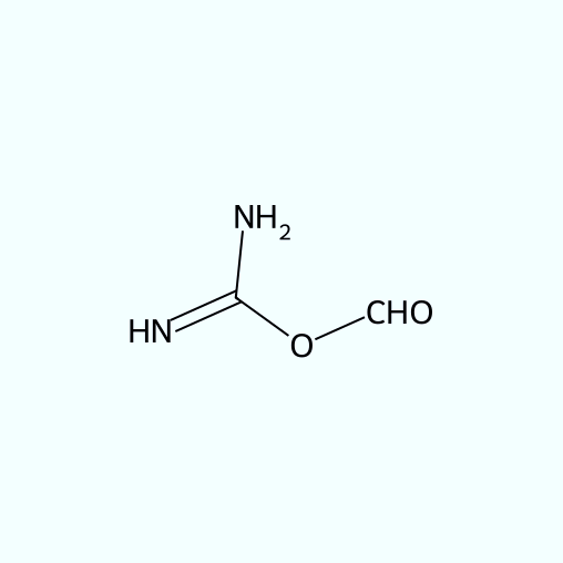 N=C(N)OC=O